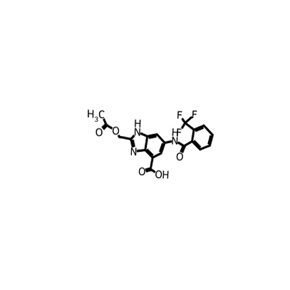 CC(=O)OCc1nc2c(C(=O)O)cc(NC(=O)c3ccccc3C(F)(F)F)cc2[nH]1